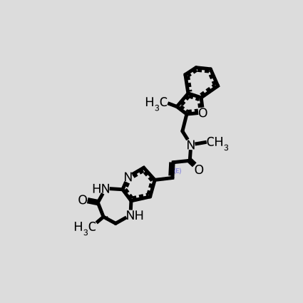 C[C]1CNc2cc(/C=C/C(=O)N(C)Cc3oc4ccccc4c3C)cnc2NC1=O